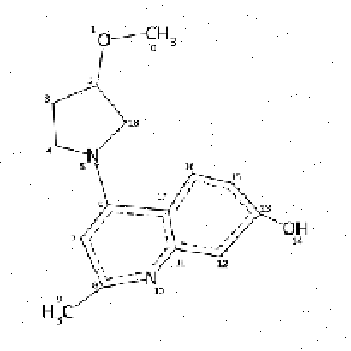 COC1CCN(c2cc(C)nc3cc(O)ccc23)C1